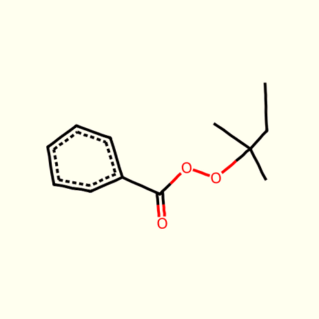 CCC(C)(C)OOC(=O)c1ccccc1